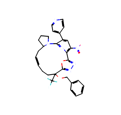 O=[N+]([O-])c1cc(-c2ccncc2)c2nc1-c1nnc(o1)C(OCc1ccccc1)(C(F)(F)F)CCC=CCC1CCCN21